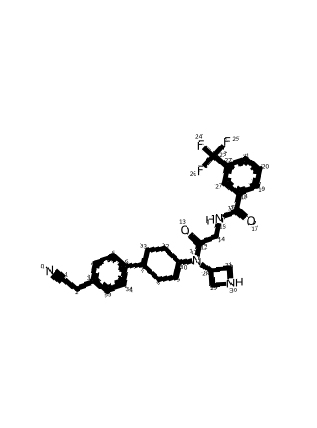 N#CCc1ccc(C2CCC(N(C(=O)CNC(=O)c3cccc(C(F)(F)F)c3)C3CNC3)CC2)cc1